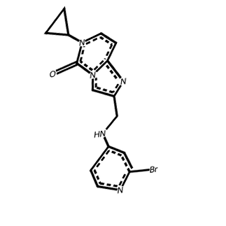 O=c1n(C2CC2)ccc2nc(CNc3ccnc(Br)c3)cn12